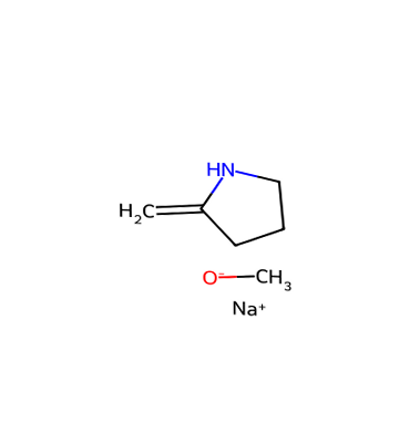 C=C1CCCN1.C[O-].[Na+]